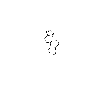 [CH]1CCC2C(C1)CCC1C3=CC=CC3CCC12